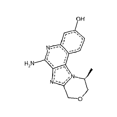 C[C@H]1COCc2nc3c(N)nc4cc(O)ccc4c3n21